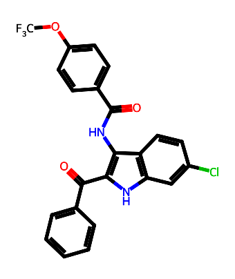 O=C(Nc1c(C(=O)c2ccccc2)[nH]c2cc(Cl)ccc12)c1ccc(OC(F)(F)F)cc1